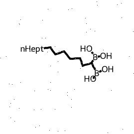 CCCCCCCCCCCCCC(B(O)O)B(O)O